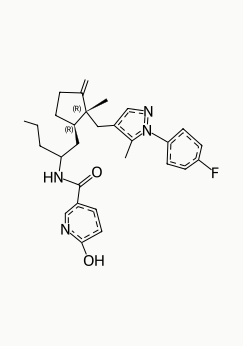 C=C1CC[C@H](CC(CCC)NC(=O)c2ccc(O)nc2)[C@@]1(C)Cc1cnn(-c2ccc(F)cc2)c1C